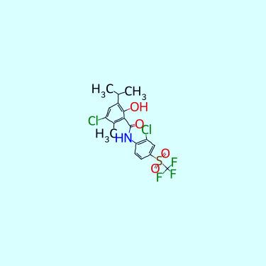 Cc1c(Cl)cc(C(C)C)c(O)c1C(=O)Nc1ccc(S(=O)(=O)C(F)(F)F)cc1Cl